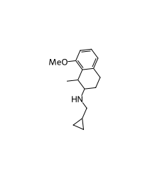 COc1cccc2c1C(C)C(NCC1CC1)CC2